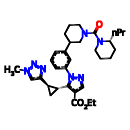 CCC[C@@H]1CCCCN1C(=O)N1CCCC(c2cccc(-n3ncc(C(=O)OCC)c3[C@@H]3C[C@H]3c3cn(C)nn3)c2)C1